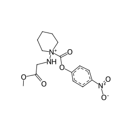 COC(=O)CN[N+]1(C(=O)Oc2ccc([N+](=O)[O-])cc2)CCCCC1